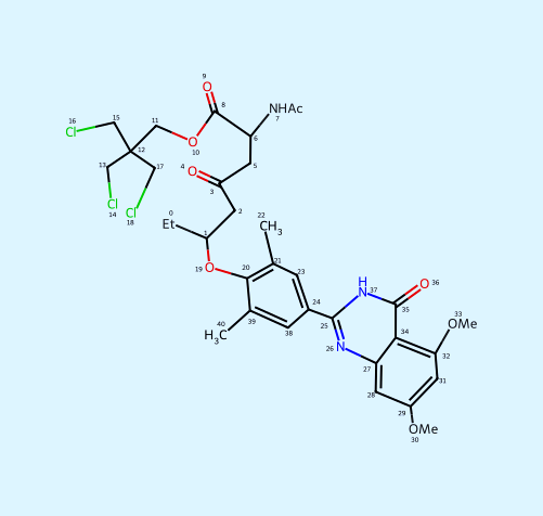 CCC(CC(=O)CC(NC(C)=O)C(=O)OCC(CCl)(CCl)CCl)Oc1c(C)cc(-c2nc3cc(OC)cc(OC)c3c(=O)[nH]2)cc1C